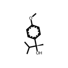 COc1ccc([C@](C)(O)C(C)C)cc1